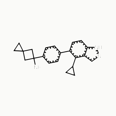 NC1(c2ccc(-c3ccc4[nH]ncc4c3C3CC3)cc2)CC2(CC2)C1